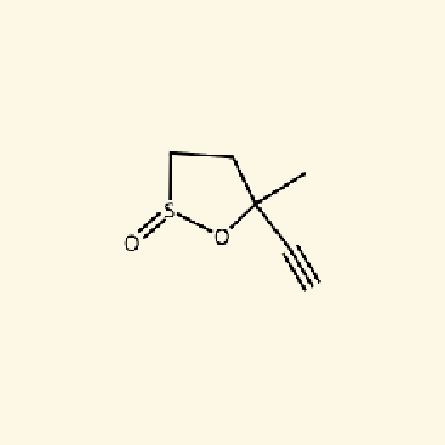 C#CC1(C)CCS(=O)O1